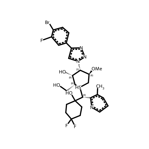 CO[C@H]1C[SH]([C@H](c2ncccc2C)C2(O)CCC(F)(F)CC2)[C@H](CO)[C@H](O)[C@@H]1n1cc(-c2ccc(Br)c(F)c2)nn1